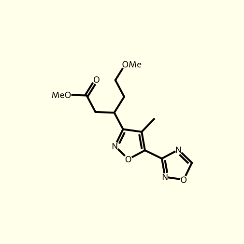 COCCC(CC(=O)OC)c1noc(-c2ncon2)c1C